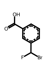 O=C(O)c1cccc(C(F)Br)c1